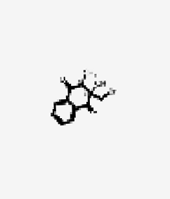 C[C@@H]1C(=O)c2ccccc2C(=O)[C@@]1(O)CBr